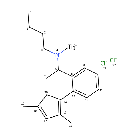 CCCC[N]([Ti+2])C(C)c1ccccc1C1=C(C)C=C(C)C1.[Cl-].[Cl-]